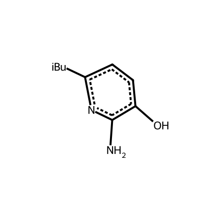 CCC(C)c1ccc(O)c(N)n1